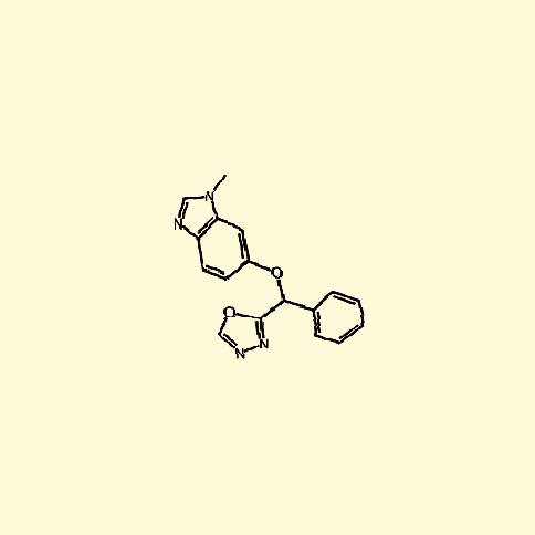 Cn1cnc2ccc(OC(c3ccccc3)c3nnco3)cc21